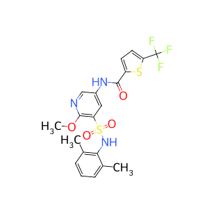 COc1ncc(NC(=O)c2ccc(C(F)(F)F)s2)cc1S(=O)(=O)Nc1c(C)cccc1C